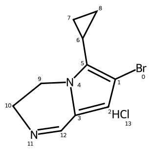 Brc1cc2n(c1C1CC1)CCN=C2.Cl